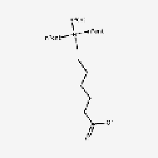 CCCCCC(=O)[O-].CCCCC[N+](C)(CCCCC)CCCCC